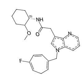 COC1CCCC[C@@H]1NC(=O)Cc1cn(CC2=CCC=C(F)C=C2)c2cccnc12